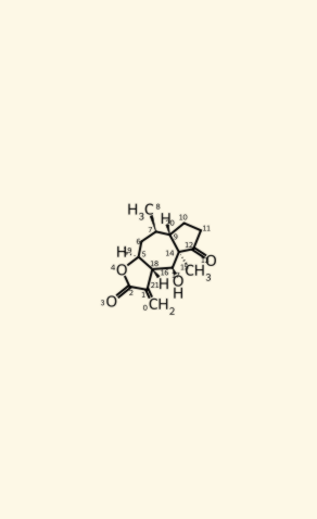 C=C1C(=O)O[C@H]2C[C@@H](C)[C@@H]3CCC(=O)[C@@]3(C)[C@@H](O)[C@H]12